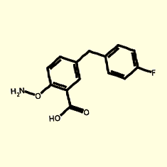 NOc1ccc(Cc2ccc(F)cc2)cc1C(=O)O